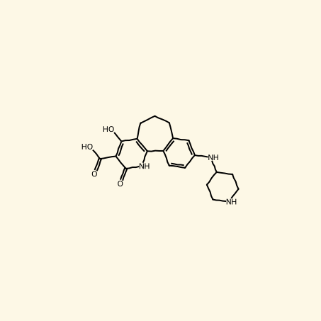 O=C(O)c1c(O)c2c([nH]c1=O)-c1ccc(NC3CCNCC3)cc1CCC2